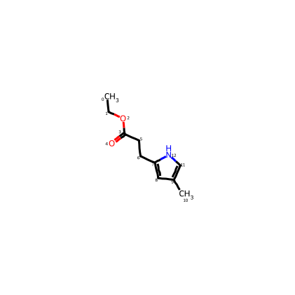 CCOC(=O)CCc1cc(C)c[nH]1